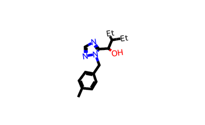 CCC(CC)C(O)c1ncnn1Cc1ccc(C)cc1